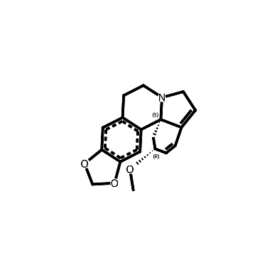 CO[C@H]1C=CC2=CCN3CCc4cc5c(cc4[C@]23C1)OCO5